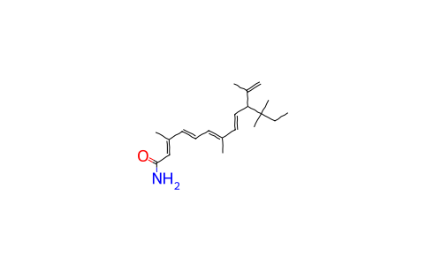 C=C(C)C(C=CC(C)=CC=CC(C)=CC(N)=O)C(C)(C)CC